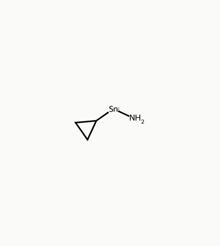 [NH2][Sn][CH]1CC1